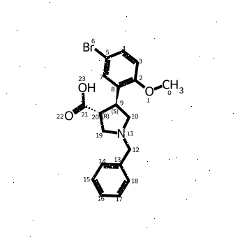 COc1ccc(Br)cc1[C@H]1CN(Cc2ccccc2)C[C@@H]1C(=O)O